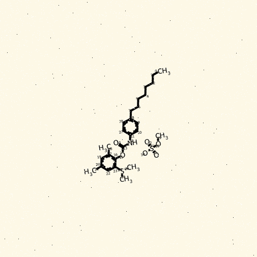 CCCCCCCCc1ccc(NC(=O)Oc2c(C)cc(C)cc2[S+](C)C)cc1.COS(=O)(=O)[O-]